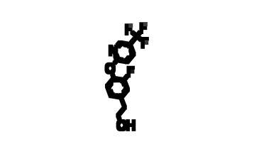 OCCc1ccc(Oc2ccc(C(F)(F)F)cn2)c(F)c1